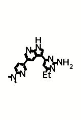 CCc1cc(-c2c[nH]c3ncc(-c4ccc(N(C)C)nc4)cc23)nc(N)n1